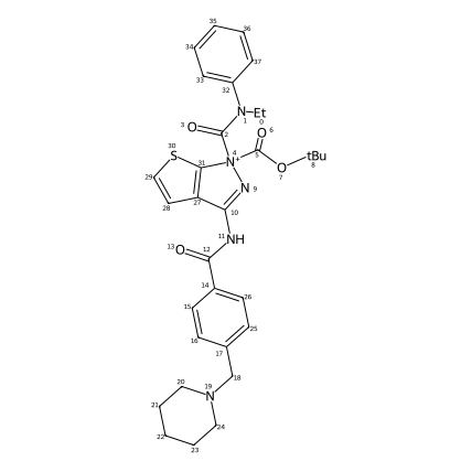 CCN(C(=O)[N+]1(C(=O)OC(C)(C)C)N=C(NC(=O)c2ccc(CN3CCCCC3)cc2)c2ccsc21)c1ccccc1